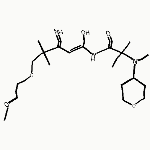 COCCOCC(C)(C)C(=N)/C=C(\O)NC(=O)C(C)(C)N(C)C1CCOCC1